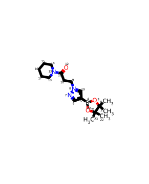 CC1(C)OB(c2cnn(CCC(=O)N3CCCCC3)c2)OC1(C)C